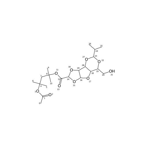 CC(=O)OC(C)(C)CC(C)(C)OC(=O)C1OC2OC3C(CO)OC(C(C)C)OC3C2O1